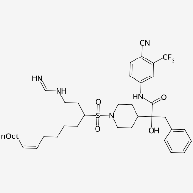 CCCCCCCC/C=C\CCCCC(CCNC=N)S(=O)(=O)N1CCC(C(O)(Cc2ccccc2)C(=O)Nc2ccc(C#N)c(C(F)(F)F)c2)CC1